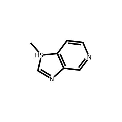 C[SH]1C=Nc2cnccc21